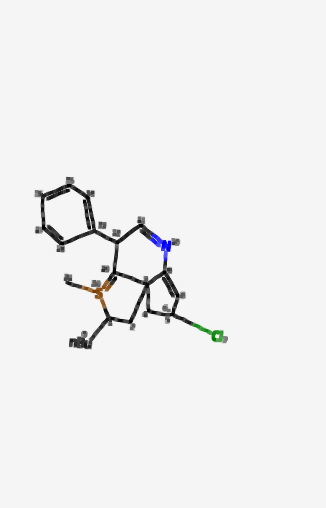 CCCCC1CC23CC=C(Cl)C=C2N=CC(c2ccccc2)C3=S1C